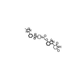 Cc1nc(-c2cccc(S(=O)(=O)N3CCN(C(=O)COc4cccc5c(C6CCC(=O)NC6=O)nn(C)c45)CC3)c2)no1